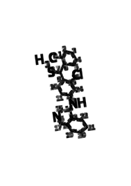 Cc1ccccc1C(=S)c1ccc(Nc2cncc3ccccc23)cc1Cl